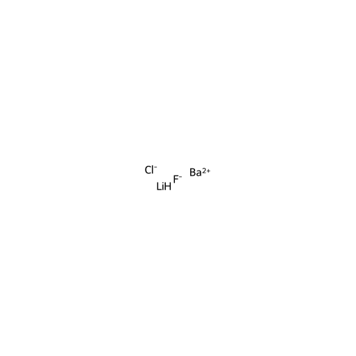 [Ba+2].[Cl-].[F-].[LiH]